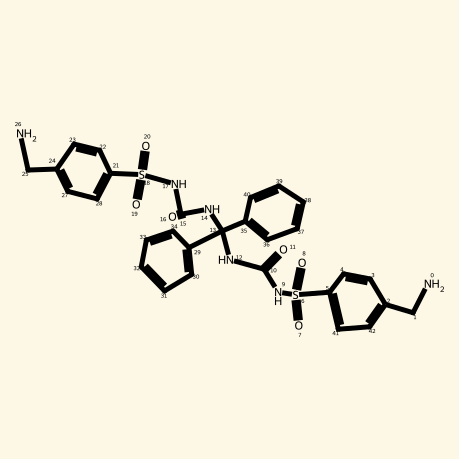 NCc1ccc(S(=O)(=O)NC(=O)NC(NC(=O)NS(=O)(=O)c2ccc(CN)cc2)(c2ccccc2)c2ccccc2)cc1